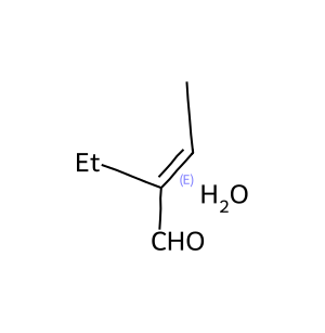 C/C=C(/C=O)CC.O